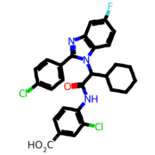 O=C(O)c1ccc(NC(=O)C(C2CCCCC2)n2c(-c3ccc(Cl)cc3)nc3cc(F)ccc32)c(Cl)c1